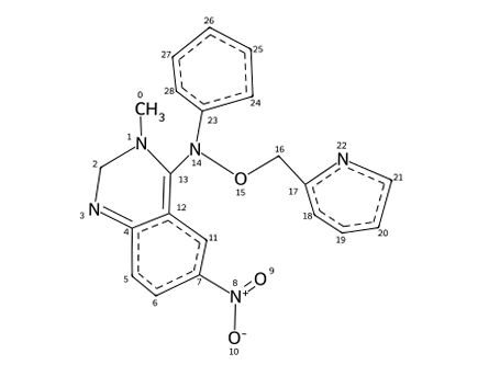 CN1CN=c2ccc([N+](=O)[O-])cc2=C1N(OCc1ccccn1)c1ccccc1